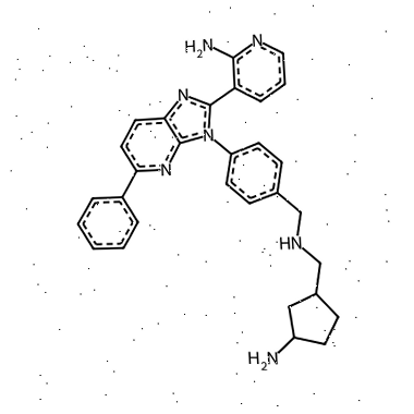 Nc1ncccc1-c1nc2ccc(-c3ccccc3)nc2n1-c1ccc(CNCC2CCC(N)C2)cc1